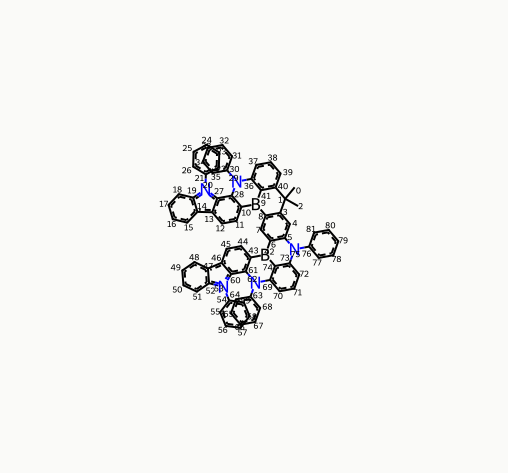 CC1(C)c2cc3c(cc2B2c4ccc5c6ccccc6n(-c6ccccc6)c5c4N(c4ccccc4)c4cccc1c42)B1c2ccc4c5ccccc5n(-c5ccccc5)c4c2N(c2ccccc2)c2cccc(c21)N3c1ccccc1